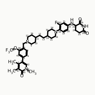 Cc1c(-c2ccc(CN3CCC(CCC4CCN(c5ccc(NC6CCC(=O)NC6=O)cc5F)CC4)CC3)c(OC(F)(F)F)c2)cn(C)c(=O)c1C